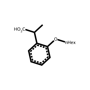 CCCCCCOc1ccccc1C(C)C(=O)O